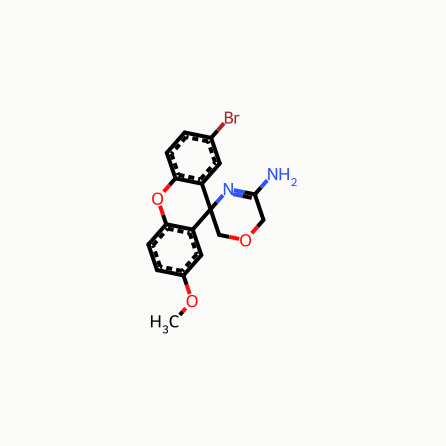 COc1ccc2c(c1)C1(COCC(N)=N1)c1cc(Br)ccc1O2